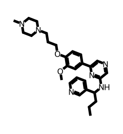 CCCC(Nc1cncc(-c2ccc(OCCCN3CCN(C)CC3)c(OC)c2)n1)c1cccnc1